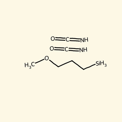 COCCC[SiH3].N=C=O.N=C=O